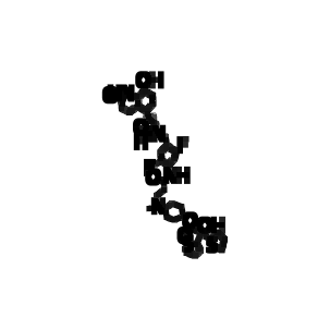 CN(CCC(=O)Nc1cc(F)c(CNC[C@H](O)c2ccc(O)c3[nH]c(=O)ccc23)cc1F)[C@H]1CC[C@H](OC(=O)C(O)(c2cccs2)c2cccs2)CC1